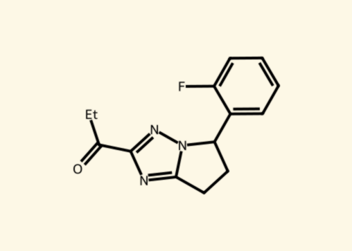 CCC(=O)c1nc2n(n1)C(c1ccccc1F)CC2